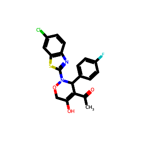 CC(=O)C1=C(O)CON(c2nc3ccc(Cl)cc3s2)C1c1ccc(F)cc1